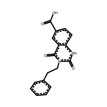 O=C(O)c1ccc2[nH]c(=O)n(CCc3ccccc3)c(=O)c2c1